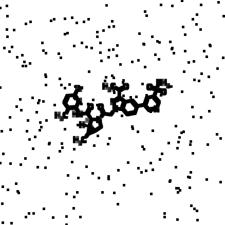 CC(=O)c1nn(CC(=O)N2CC3=C(C)[C@H]3[C@H]2C(=O)Nc2nc(Br)ccc2C)c2ccc(-c3cncc(S(N)(=O)=O)c3)cc12